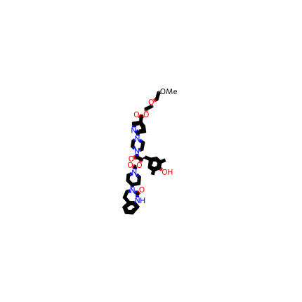 COCCOCCOC(=O)c1ccc(N2CCN(C(=O)[C@@H](Cc3cc(C)c(O)c(C)c3)OC(=O)N3CCC(N4CCc5ccccc5NC4=O)CC3)CC2)nc1